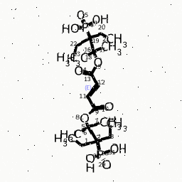 CCC(CC)(C(C)(C)OC(=O)/C=C/C(=O)OC(C)(C)C(CC)(CC)P(=O)(O)O)P(=O)(O)O